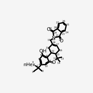 CCCCCCC(C)(C)c1cc(O)c2c(c1)OC(C)(C)C1CC=C(CN3C(=O)c4ccccc4C3=O)CC21